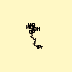 CC(C)CCCC(C)CCCC(C)CCCC(C)CCCC(=O)OC[C@H](O)[C@H](O)CO